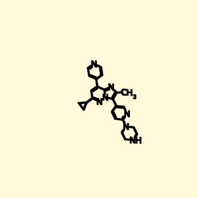 Cc1nc2c(-c3ccncc3)cc(C3CC3)nn2c1-c1ccc(N2CCNCC2)nc1